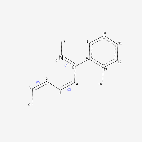 C\C=C/C=C\C(=N\C)c1ccccc1C